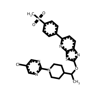 CC(Oc1nc2ccc(-c3ccc(S(C)(=O)=O)cc3)nc2s1)C1CCN(c2ncc(Cl)cn2)CC1